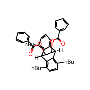 CCCCc1cccc2c1[C@H]1c3c(CCCC)ccc(CCCC)c3[C@H]2C(OC(=O)c2ccccc2)C1OC(=O)c1ccccc1